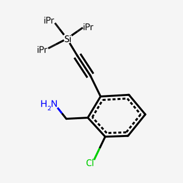 CC(C)[Si](C#Cc1cccc(Cl)c1CN)(C(C)C)C(C)C